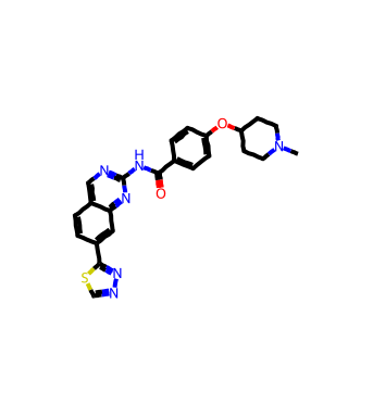 CN1CCC(Oc2ccc(C(=O)Nc3ncc4ccc(-c5nncs5)cc4n3)cc2)CC1